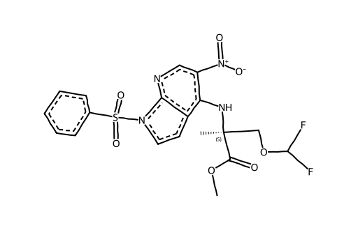 COC(=O)[C@](C)(COC(F)F)Nc1c([N+](=O)[O-])cnc2c1ccn2S(=O)(=O)c1ccccc1